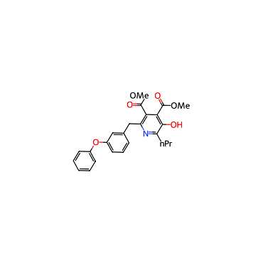 CCCc1nc(Cc2cccc(Oc3ccccc3)c2)c(C(=O)OC)c(C(=O)OC)c1O